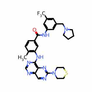 Cc1ccc(C(=O)Nc2cc(CN3CCCC3)cc(C(F)(F)F)c2)cc1Nc1ncnc2cnc(N3CCSCC3)nc12